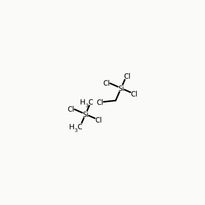 C[Si](C)(Cl)Cl.ClC[Si](Cl)(Cl)Cl